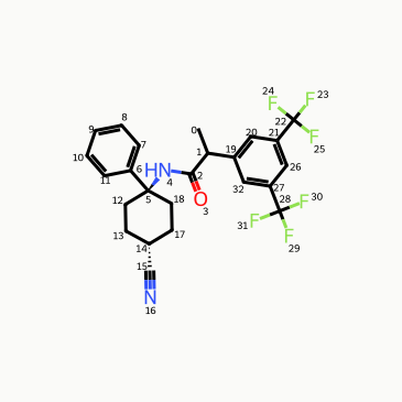 CC(C(=O)N[C@]1(c2ccccc2)CC[C@@H](C#N)CC1)c1cc(C(F)(F)F)cc(C(F)(F)F)c1